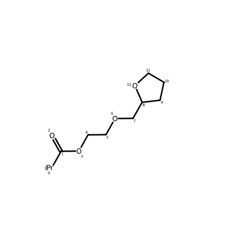 CC(C)C(=O)OCCOCC1CCCO1